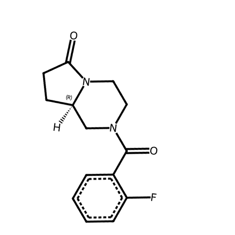 O=C(c1ccccc1F)N1CCN2C(=O)CC[C@@H]2C1